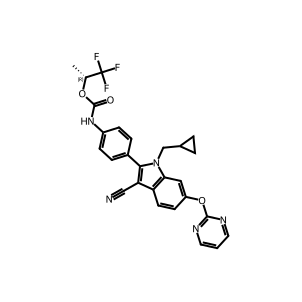 C[C@@H](OC(=O)Nc1ccc(-c2c(C#N)c3ccc(Oc4ncccn4)cc3n2CC2CC2)cc1)C(F)(F)F